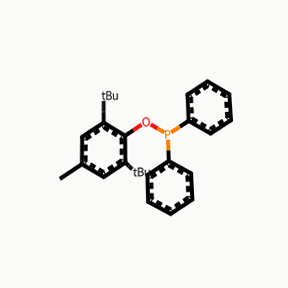 Cc1cc(C(C)(C)C)c(OP(c2ccccc2)c2ccccc2)c(C(C)(C)C)c1